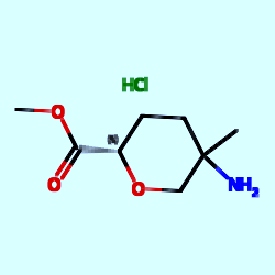 COC(=O)[C@@H]1CCC(C)(N)CO1.Cl